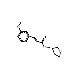 C1CCOC1.COC(=O)C=Cc1cccc(OC)c1